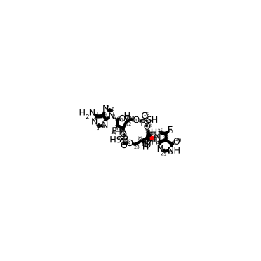 Nc1ncnc2c1ncn2[C@@H]1O[C@@H]2COP(=O)(S)O[C@@H]3[C@H](O)[C@@H](COP(=O)(S)O[C@H]2[C@H]1F)O[C@H]3n1cc(F)c2c(=O)[nH]cnc21